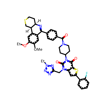 CCOc1cc2c(cc1OC)C(c1ccc(C(=O)N3CCC(n4c(=O)c5sc(-c6ccccc6F)cc5n(Cc5nnn(CC)n5)c4=O)CC3)cc1)=N[C@@H]1CCSC[C@H]21